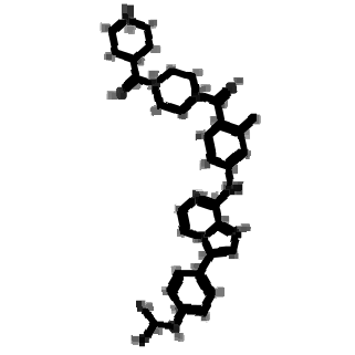 Cc1cc(Nc2nccn3c(-c4ccc(OC(F)F)cc4)cnc23)ccc1C(=O)N1CCN(C(=O)C2CCNCC2)CC1